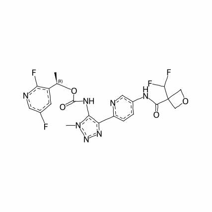 C[C@@H](OC(=O)Nc1c(-c2ccc(NC(=O)C3(C(F)F)COC3)cn2)nnn1C)c1cc(F)cnc1F